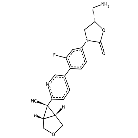 N#C[C@@]1(c2ccc(-c3ccc(N4C[C@H](CN)OC4=O)cc3F)cn2)[C@@H]2COC[C@@H]21